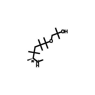 CN[C@H](C)C(C)(C)CC(C)(C)C(C)(C)OCC(C)(C)O